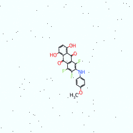 COc1ccc(Nc2c(F)c(F)c3c(c2F)C(=O)c2c(O)ccc(O)c2C3=O)cc1